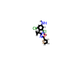 CNc1cc(Cl)c(C2(c3noc(-c4cccs4)n3)CC2)c(Cl)c1